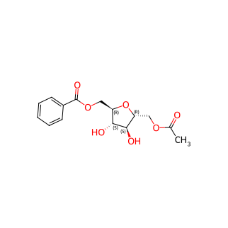 CC(=O)OC[C@H]1O[C@H](COC(=O)c2ccccc2)[C@@H](O)[C@@H]1O